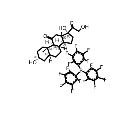 C[C@]12CC[C@@H](O)C[C@H]1CC[C@@H]1[C@@H]2C(=O)C[C@@]2(C)[C@H]1CC[C@]2(O)C(=O)CO.Fc1c(F)c(F)c(B(c2c(F)c(F)c(F)c(F)c2F)c2c(F)c(F)c(F)c(F)c2F)c(F)c1F